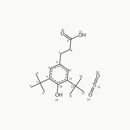 CC(C)(C)c1cc(CCC(=O)O)cc(C(C)(C)C)c1O.[O]=[Ti]=[O]